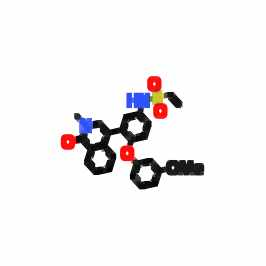 C=CS(=O)(=O)Nc1ccc(Oc2cccc(OC)c2)c(-c2cn(C)c(=O)c3ccccc23)c1